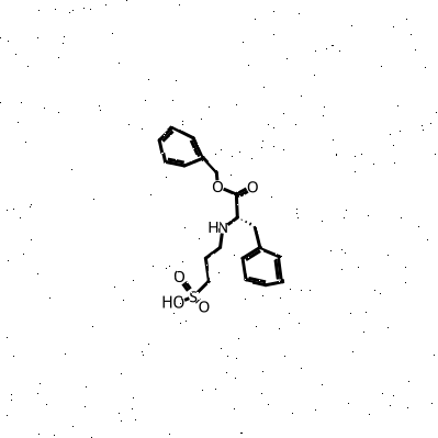 O=C(OCc1ccccc1)[C@H](Cc1ccccc1)NCCCS(=O)(=O)O